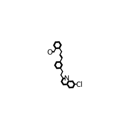 O=Cc1ccccc1C/C=C/c1cccc(CCc2ccc3ccc(Cl)cc3n2)c1